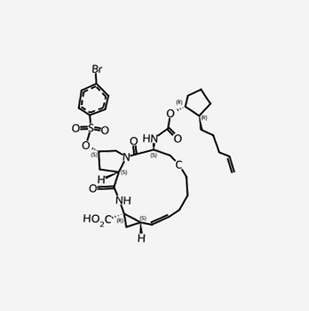 C=CCCC[C@@H]1CCC[C@H]1OC(=O)N[C@H]1CCCCCC=C[C@@H]2C[C@@]2(C(=O)O)NC(=O)[C@@H]2C[C@H](OS(=O)(=O)c3ccc(Br)cc3)CN2C1=O